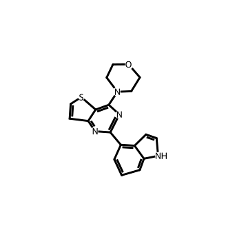 c1cc(-c2nc(N3CCOCC3)c3sccc3n2)c2cc[nH]c2c1